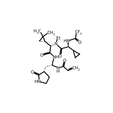 C=CC(=O)N[C@H](C[C@@H]1CCNC1=O)NC(=O)[C@H]([C@@H]1CC1(C)C)N(CC)C(=O)[C@@H](NC(=O)C(F)(F)F)C1CC1